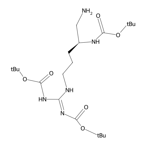 CC(C)(C)OC(=O)/N=C(\NCCC[C@@H](CN)NC(=O)OC(C)(C)C)NC(=O)OC(C)(C)C